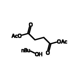 CC(=O)OC(=O)CCC(=O)OC(C)=O.[CH2]CCCO